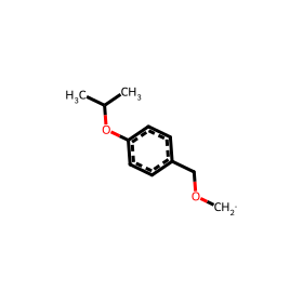 [CH2]OCc1ccc(OC(C)C)cc1